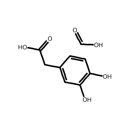 O=C(O)Cc1ccc(O)c(O)c1.O=CO